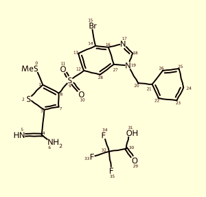 CSc1sc(C(=N)N)cc1S(=O)(=O)c1cc(Br)c2ncn(Cc3ccccc3)c2c1.O=C(O)C(F)(F)F